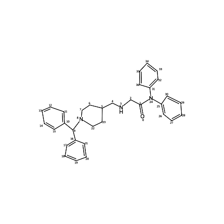 O=C(CNCC1CCN(C(c2ccccc2)c2ccccc2)CC1)N(c1ccccc1)c1ccccc1